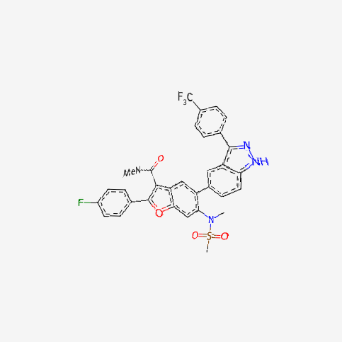 CNC(=O)c1c(-c2ccc(F)cc2)oc2cc(N(C)S(C)(=O)=O)c(-c3ccc4[nH]nc(-c5ccc(C(F)(F)F)cc5)c4c3)cc12